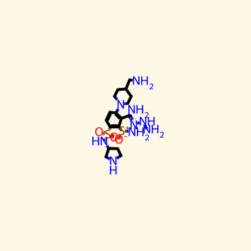 NCC1CCN(c2ccc(S(=O)(=O)NC3CCNC3)c([S+](N)[O-])c2/C(N)=N/NN)CC1